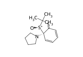 CC(C)(C)[S@+]([O-])[C@]1(N2CCCC2)C=CC=CC1=S